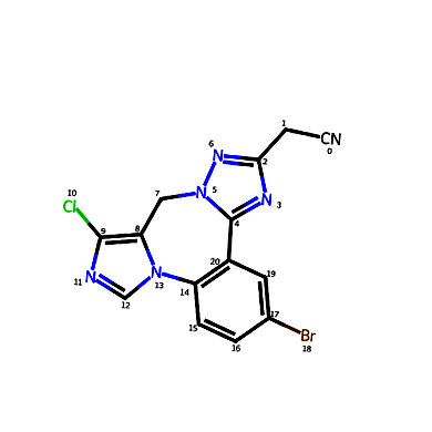 N#CCc1nc2n(n1)Cc1c(Cl)ncn1-c1ccc(Br)cc1-2